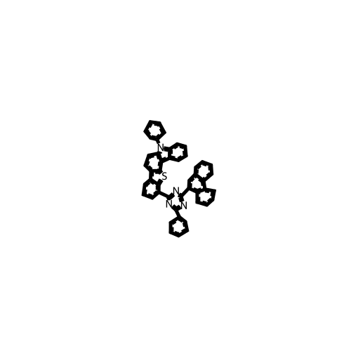 c1ccc(-c2nc(-c3cc4ccccc4c4ccccc34)nc(-c3cccc4c3sc3c4ccc4c3c3ccccc3n4-c3ccccc3)n2)cc1